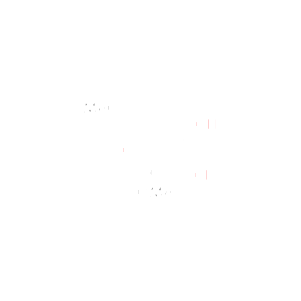 CO[C@@H]1C[C@H](O)C(O)[C@H](OC)O1